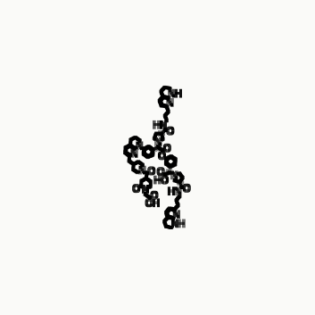 O=C(O)CN1CCC(C(=O)N2CCC(Cc3ccc4c(n3)N(c3cccc([C@H](C(=O)Oc5cccc([C@@H](C(=O)O)N6CC[C@@H](C(=O)NCCCc7ccc8c(n7)NCCC8)C6)c5)N5CC[C@@H](C(=O)NCCCc6ccc7c(n6)NCCC7)C5)c3)CCC4)CC2)CC1=O